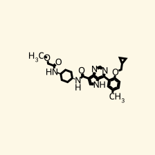 COCC(=O)N[C@H]1CC[C@H](NC(=O)c2c[nH]c3c(-c4cc(C)ccc4OCC4CC4)ncnc23)CC1